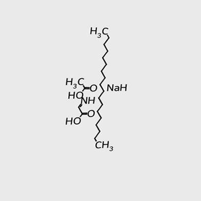 CC(=O)O.CCCCCCCCCCCCCCCCCC.N=CC(=O)O.[NaH]